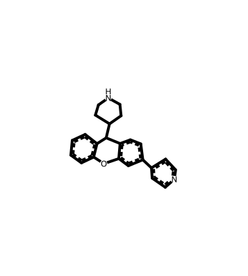 c1ccc2c(c1)Oc1cc(-c3ccncc3)ccc1C2C1CCNCC1